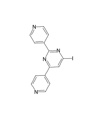 Ic1cc(-c2ccncc2)nc(-c2ccncc2)n1